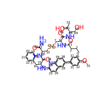 CCCC(=O)NC(CSSCC(NC(=O)C(Cc1ccccc1)Nc1ccc2cc(-c3ccc(OC)cc3)ccc2n1)C(N)=O)C(=O)NC(CO)C(C)O